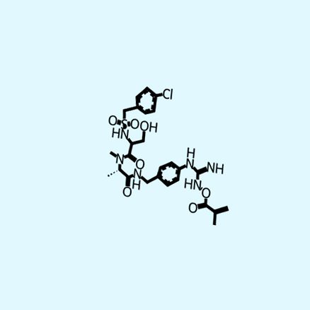 C=C(C)C(=O)ONC(=N)Nc1ccc(CNC(=O)[C@H](C)N(C)C(=O)C(CO)NS(=O)(=O)Cc2ccc(Cl)cc2)cc1